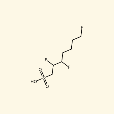 O=S(=O)(O)CC(F)C(F)CCCCF